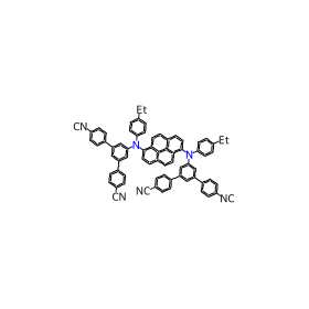 [C-]#[N+]c1ccc(-c2cc(-c3ccc(C#N)cc3)cc(N(c3ccc(CC)cc3)c3ccc4ccc5c(N(c6ccc(CC)cc6)c6cc(-c7ccc(C#N)cc7)cc(-c7ccc([N+]#[C-])cc7)c6)ccc6ccc3c4c65)c2)cc1